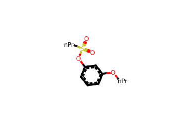 CCCOc1cccc(OS(=O)(=O)CCC)c1